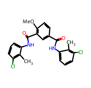 COc1ccc(C(=O)Nc2cccc(Cl)c2C)cc1C(=O)Nc1cccc(Cl)c1C